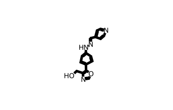 OCc1ncoc1-c1ccc(NN=Cc2ccncc2)cc1